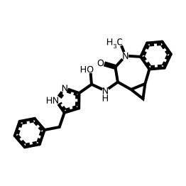 CN1C(=O)C(NC(O)c2cc(Cc3ccccc3)[nH]n2)C2CC2c2ccccc21